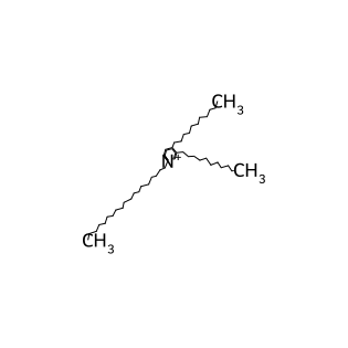 CCCCCCCCCCCCCCCCCCC[n+]1ccc(CCCCCCCCCCC)c(CCCCCCCCCCC)c1